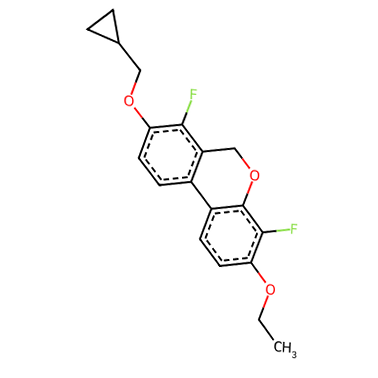 CCOc1ccc2c(c1F)OCc1c-2ccc(OCC2CC2)c1F